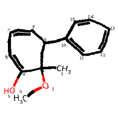 COC1(C)C(O)=CC=CC1c1ccccc1